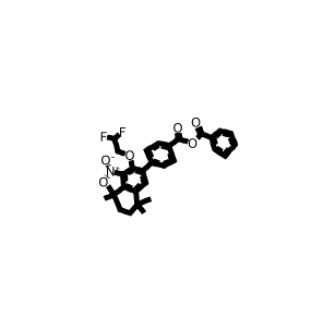 CC1(C)CCC(C)(C)c2c1cc(-c1ccc(C(=O)OC(=O)c3ccccc3)cc1)c(OCC(F)F)c2[N+](=O)[O-]